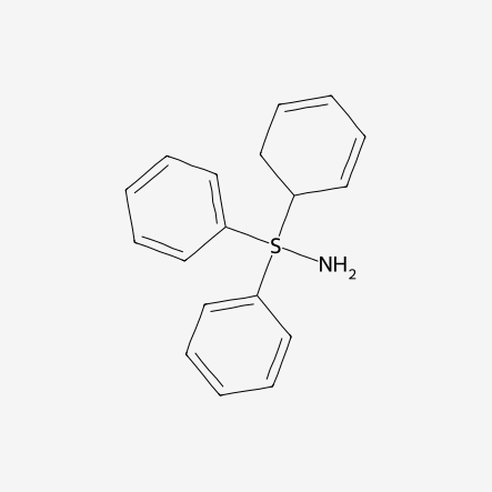 NS(c1ccccc1)(c1ccccc1)C1C=CC=CC1